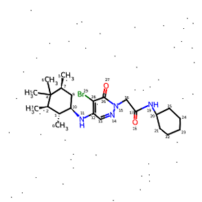 C[C@@H]1[C@@H](C)C(C)(C)[C@@H](C)C[C@H]1Nc1cnn(CC(=O)NC2CCCCC2)c(=O)c1Br